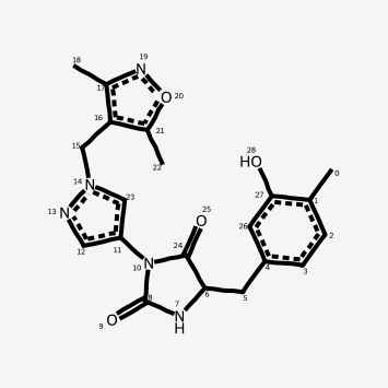 Cc1ccc(CC2NC(=O)N(c3cnn(Cc4c(C)noc4C)c3)C2=O)cc1O